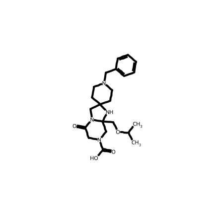 CC(C)OCC12CN(C(=O)O)CC(=O)N1CC1(CCN(Cc3ccccc3)CC1)N2